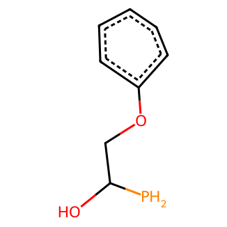 OC(P)COc1ccccc1